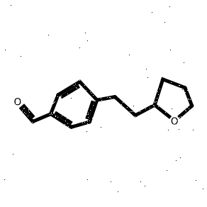 O=Cc1ccc(CCC2CCCO2)cc1